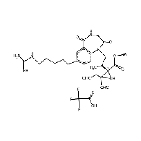 CC(C)OC(=O)[C@]1(C(C)CN2C(=O)CNC(=O)c3cc(CCCCCNC(=N)N)ccc32)NC1(C=O)CC=O.O=C(O)C(F)(F)F